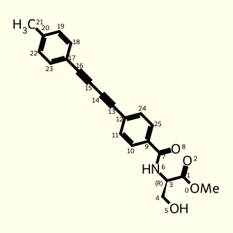 COC(=O)[C@@H](CO)NC(=O)c1ccc(C#CC#Cc2ccc(C)cc2)cc1